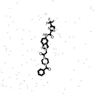 O=C(Nc1ccc2nn(CC(=O)N3CCN(C(=O)c4ccccc4)CC3)cc2c1)c1nc(C(F)(F)F)cs1